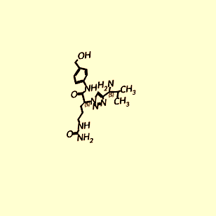 CC(C)[C@H](N)c1cn([C@@H](CCCNC(N)=O)C(=O)Nc2ccc(CO)cc2)nn1